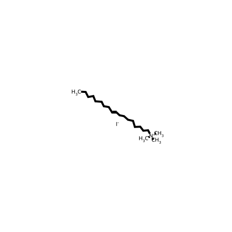 CCCCCCCCC=CCCCCCCCC[N+](C)(C)C.[I-]